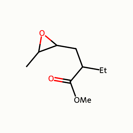 CCC(CC1OC1C)C(=O)OC